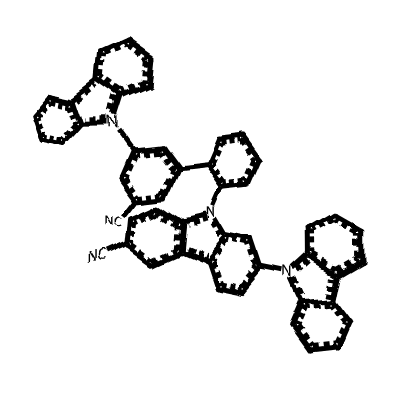 N#Cc1cc(-c2ccccc2-n2c3ccc(C#N)cc3c3ccc(-n4c5ccccc5c5ccccc54)cc32)cc(-n2c3ccccc3c3ccccc32)c1